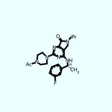 CC(=O)N1CCN(c2nc(N[C@H](C)c3cccc(F)c3)c3c(n2)C(=O)N(C(C)C)C3)CC1